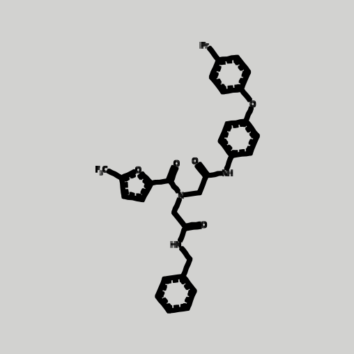 CC(C)c1ccc(Oc2ccc(NC(=O)CN(CC(=O)NCc3ccccc3)C(=O)c3ccc(C(F)(F)F)o3)cc2)cc1